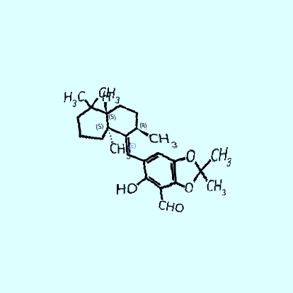 C[C@@H]1CC[C@H]2C(C)(C)CCC[C@]2(C)/C1=C/c1cc2c(c(C=O)c1O)OC(C)(C)O2